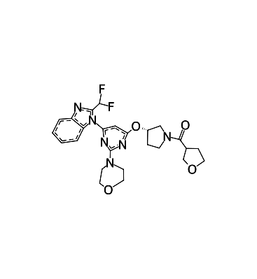 O=C(C1CCOC1)N1CC[C@H](Oc2cc(-n3c(C(F)F)nc4ccccc43)nc(N3CCOCC3)n2)C1